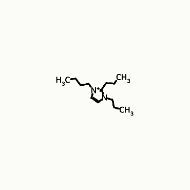 CCCC[n+]1ccn(CCC)c1CCC